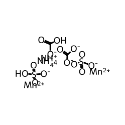 O=C([O-])O.O=C([O-])[O-].O=S(=O)([O-])O.O=S(=O)([O-])[O-].[Mn+2].[Mn+2].[NH4+].[NH4+]